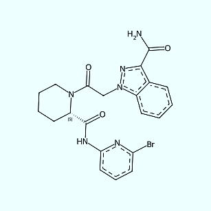 NC(=O)c1nn(CC(=O)N2CCCC[C@H]2C(=O)Nc2cccc(Br)n2)c2ccccc12